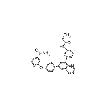 C=CC(=O)Nc1cccc(-c2cc(-c3ccc(Oc4cc(C(N)=O)ccn4)cc3)cc3cncnc23)c1